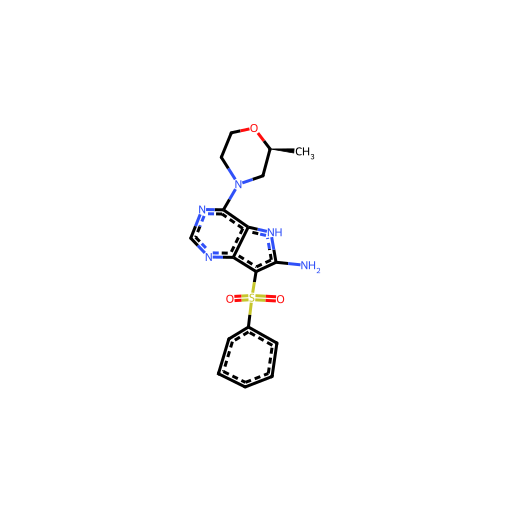 C[C@H]1CN(c2ncnc3c(S(=O)(=O)c4ccccc4)c(N)[nH]c23)CCO1